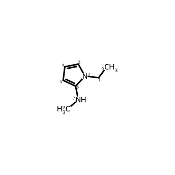 CCn1cccc1NC